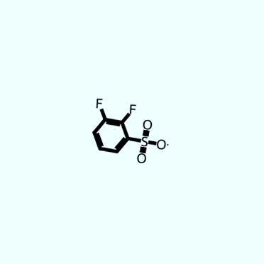 [O]S(=O)(=O)c1cccc(F)c1F